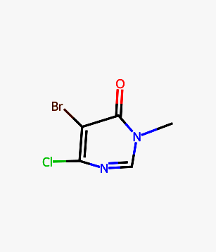 Cn1cnc(Cl)c(Br)c1=O